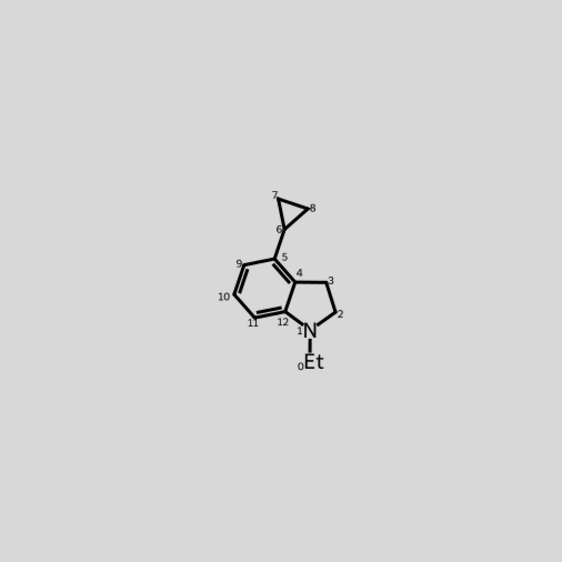 CCN1CCc2c(C3CC3)cccc21